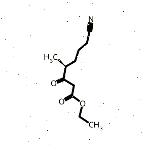 CCOC(=O)CC(=O)[C@@H](C)CCCC#N